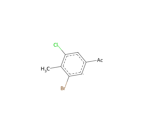 CC(=O)c1[c]c(Br)c(C)c(Cl)c1